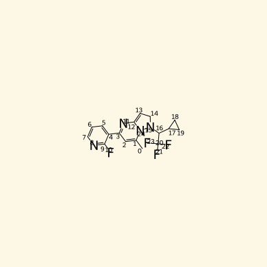 CC1=CC(c2cccnc2F)=NC2=CCN(C(C3CC3)C(F)(F)F)N12